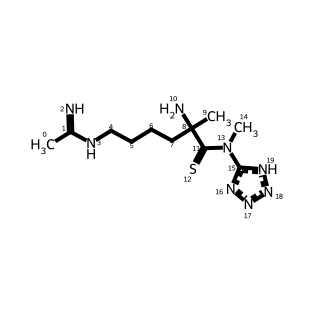 CC(=N)NCCCCC(C)(N)C(=S)N(C)c1nnn[nH]1